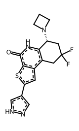 O=c1[nH]c2c(c3cc(-c4cn[nH]c4)sc13)CC(F)(F)C[C@H]2N1CCC1